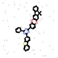 CC1(C)c2ccccc2-c2cc3c(cc21)Oc1ccc(-c2nc(-c4ccccc4)nc(-c4ccc5c(c4)sc4ccccc45)n2)cc1O3